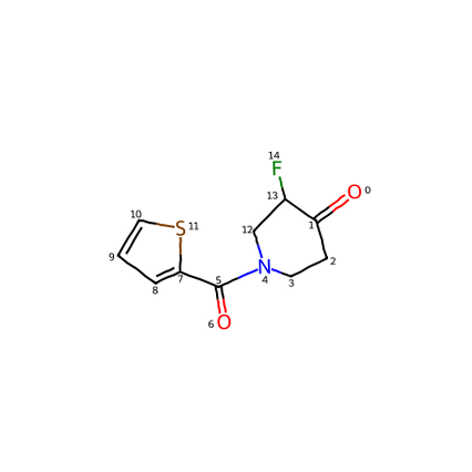 O=C1CCN(C(=O)c2cccs2)CC1F